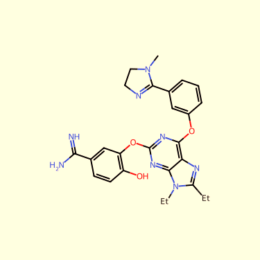 CCc1nc2c(Oc3cccc(C4=NCCN4C)c3)nc(Oc3cc(C(=N)N)ccc3O)nc2n1CC